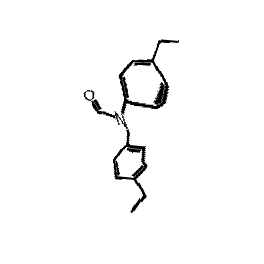 CCc1ccc(N(C=O)c2ccc(CC)cc2)cc1